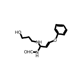 O=CNC(C=COc1ccccc1)NCCCO